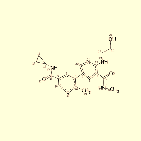 CNC(=O)c1cc(-c2cc(C(=O)NC3CC3)ccc2C)cnc1NCCO